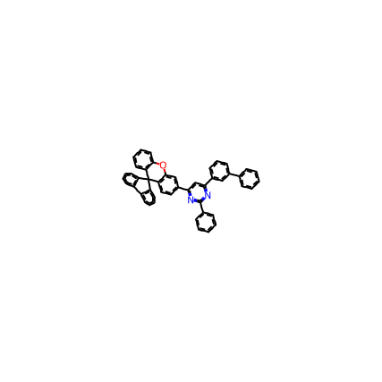 c1ccc(-c2cccc(-c3cc(-c4ccc5c(c4)Oc4ccccc4C54c5ccccc5-c5ccccc54)nc(-c4ccccc4)n3)c2)cc1